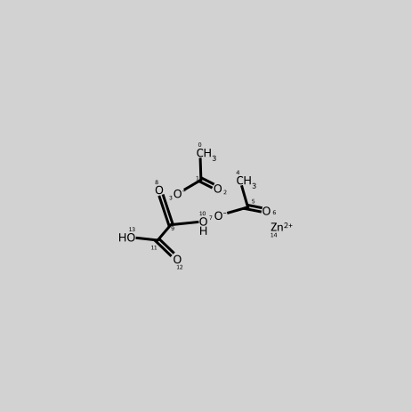 CC(=O)[O-].CC(=O)[O-].O=C(O)C(=O)O.[Zn+2]